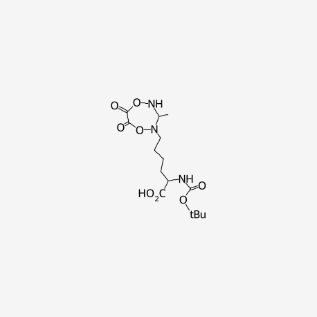 CC1NOC(=O)C(=O)ON1CCCCC(NC(=O)OC(C)(C)C)C(=O)O